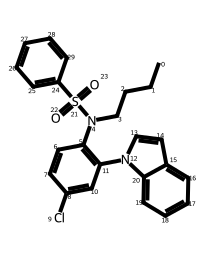 CCCCN(c1ccc(Cl)cc1-n1ccc2ccccc21)S(=O)(=O)c1ccccc1